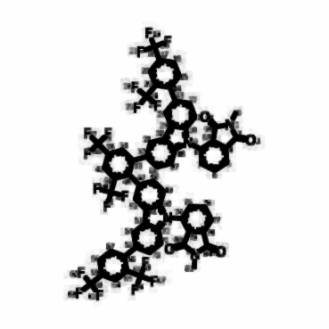 CN1C(=O)c2cccc(-n3c4ccc(-c5ccc(C(F)(F)F)cc5C(F)(F)F)cc4c4cc(-c5cc(C(F)(F)F)cc(C(F)(F)F)c5-c5ccc6c(c5)c5cc(-c7ccc(C(F)(F)F)cc7C(F)(F)F)ccc5n6-c5cccc6c5C(=O)N(C)C6=O)ccc43)c2C1=O